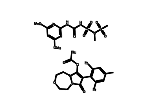 CCc1cc(C)cc(CC)c1-c1c(OC(=O)C(C)(C)C)n2n(c1=O)CCOCC2.COc1cc(OC)nc(NC(=O)NS(=O)(=O)N(C)S(C)(=O)=O)n1